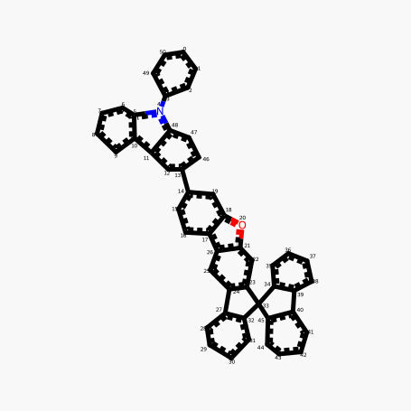 c1ccc(-n2c3ccccc3c3cc(-c4ccc5c(c4)oc4cc6c(cc45)-c4ccccc4C64c5ccccc5-c5ccccc54)ccc32)cc1